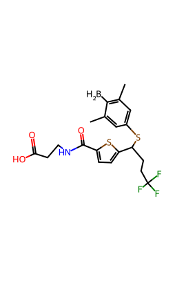 Bc1c(C)cc(SC(CCC(F)(F)F)c2ccc(C(=O)NCCC(=O)O)s2)cc1C